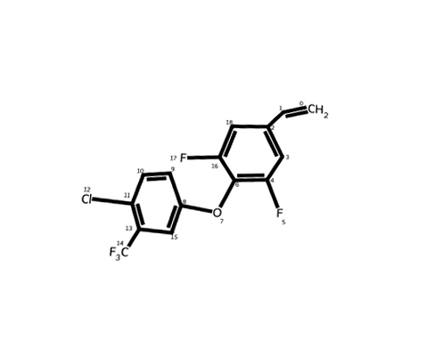 C=Cc1cc(F)c(Oc2ccc(Cl)c(C(F)(F)F)c2)c(F)c1